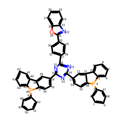 c1ccc(-p2c3ccccc3c3cc(-c4nc(-c5ccc(-c6nc7ccccc7o6)cc5)nc(-c5ccc6c(c5)c5ccccc5p6-c5ccccc5)n4)ccc32)cc1